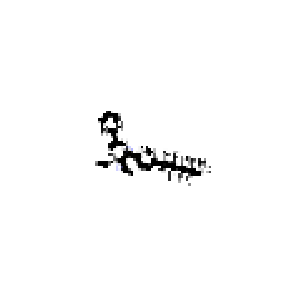 C=C(/N=C(\C(=C/C)OCC)c1ccc(C(F)(F)C(F)(F)C(F)(P)C(C)(F)P)nn1)c1ncccn1